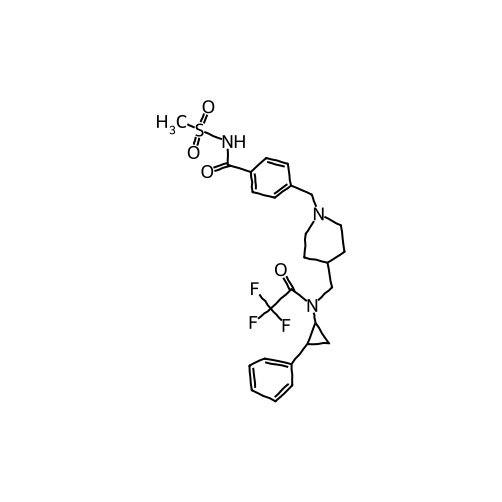 CS(=O)(=O)NC(=O)c1ccc(CN2CCC(CN(C(=O)C(F)(F)F)C3CC3c3ccccc3)CC2)cc1